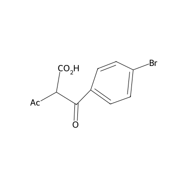 CC(=O)C(C(=O)O)C(=O)c1ccc(Br)cc1